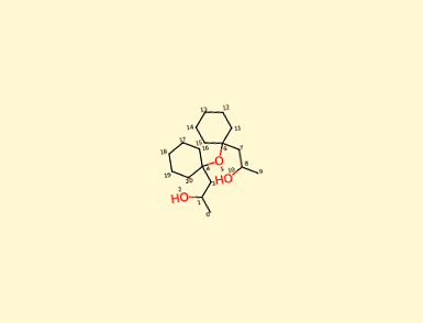 CC(O)CC1(OC2(CC(C)O)CCCCC2)CCCCC1